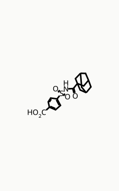 O=C(O)c1ccc(S(=O)(=O)NC(=O)C23CC4CC(CC(C4)C2)C3)cc1